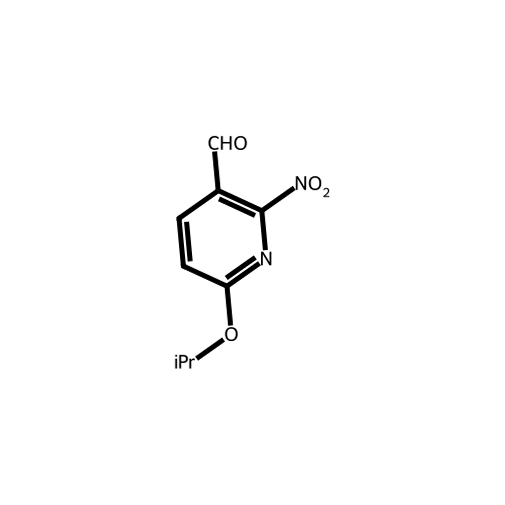 CC(C)Oc1ccc(C=O)c([N+](=O)[O-])n1